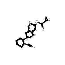 N#Cc1ccccc1-c1ccc2cc(NC(=O)C3CC3)ncc2c1